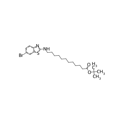 CC(C)(C)OC(=O)CCCCCCCCCCCNc1nc2ccc(Br)cc2s1